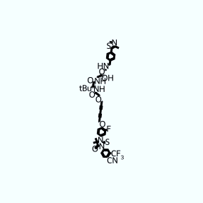 Cc1ncsc1-c1ccc(CNCO[C@@H](O)CNC(=O)[C@@H](NC(=O)COCC#CC#CCOc2ccc(N3C(=S)N(c4ccc(C#N)c(C(F)(F)F)c4)C(=O)C3(C)C)cc2F)C(C)(C)C)cc1